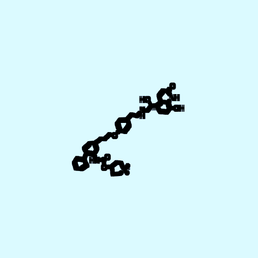 C[N+]1(C)CCC(OC(=O)Nc2cc(CCCOc3ccc(CCNC[C@@H](O)c4ccc(O)c5[nH]c(=O)ccc45)cc3)ccc2-c2ccccc2)CC1